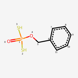 O=P(S)(S)OCc1ccccc1